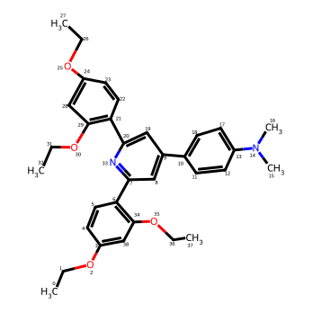 CCOc1ccc(-c2cc(-c3ccc(N(C)C)cc3)cc(-c3ccc(OCC)cc3OCC)n2)c(OCC)c1